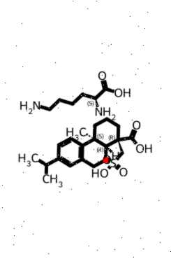 CC(C)c1ccc2c(c1)CC[C@H]1[C@@](CS(=O)(=O)O)(C(=O)O)CCC[C@]21C.NCCCC[C@H](N)C(=O)O